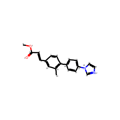 COC(=O)/C=C/c1ccc(-c2ccc(-n3ccnc3)cc2)c(C)c1